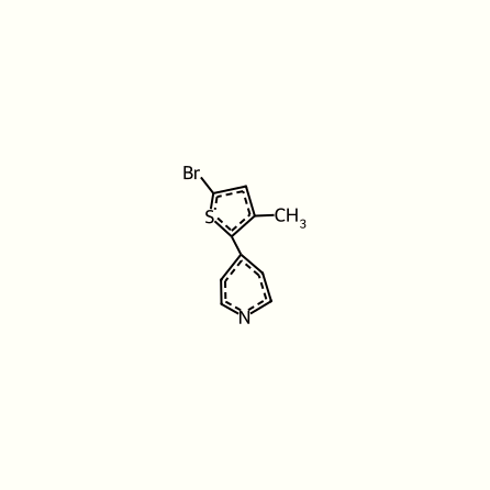 Cc1cc(Br)sc1-c1ccncc1